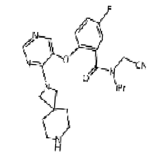 CC(C)N(CC#N)C(=O)c1cc(F)ccc1Oc1cncnc1N1CC2(CCNCC2)C1